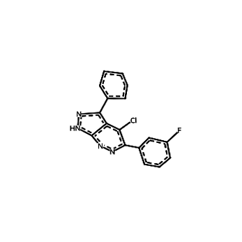 Fc1cccc(-c2nnc3[nH]nc(-c4ccccc4)c3c2Cl)c1